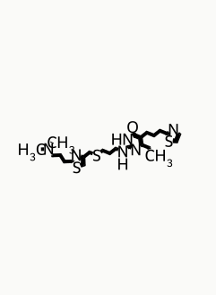 CCc1nc(NCCCSCc2csc(CCCN(C)C)n2)[nH]c(=O)c1CCCc1nccs1